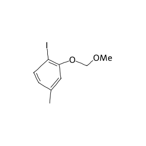 COCOc1cc(C)ccc1I